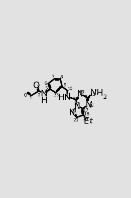 C=CC(=O)Nc1cccc(CNc2nc(N)nc3c(CC)cnn23)c1